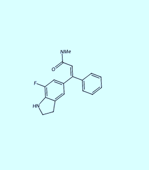 CNC(=O)/C=C(/c1ccccc1)c1cc(F)c2c(c1)CCN2